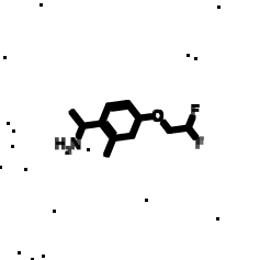 CC1=C(C(C)N)C=CC(OCC(F)F)C1